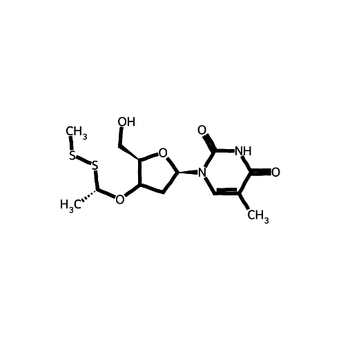 CSS[C@@H](C)OC1C[C@H](n2cc(C)c(=O)[nH]c2=O)O[C@@H]1CO